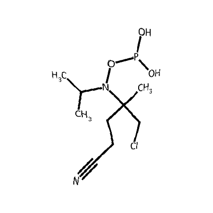 CC(C)N(OP(O)O)C(C)(CCl)CCC#N